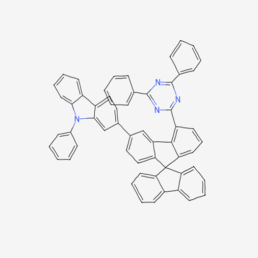 c1ccc(-c2nc(-c3ccccc3)nc(-c3cccc4c3-c3cc(-c5ccc6c7ccccc7n(-c7ccccc7)c6c5)ccc3C43c4ccccc4-c4ccccc43)n2)cc1